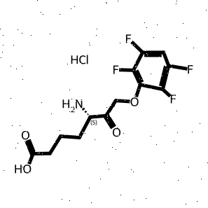 Cl.N[C@@H](CCCC(=O)O)C(=O)COc1c(F)c(F)cc(F)c1F